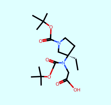 CC[C@@]1(N(CC(=O)O)C(=O)OC(C)(C)C)CCN(C(=O)OC(C)(C)C)C1